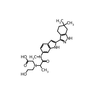 CC(C(=O)N(C)c1ccc2cc(-c3n[nH]c4c3CCC(C)(C)C4)[nH]c2c1)N(CCO)CC(=O)O